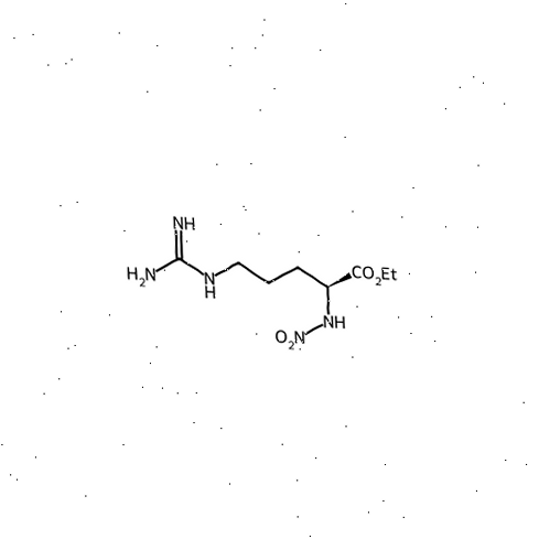 CCOC(=O)[C@H](CCCNC(=N)N)N[N+](=O)[O-]